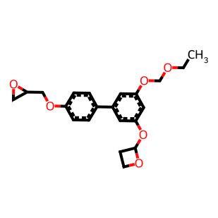 CCOCOc1cc(OC2CCO2)cc(-c2ccc(OCC3CO3)cc2)c1